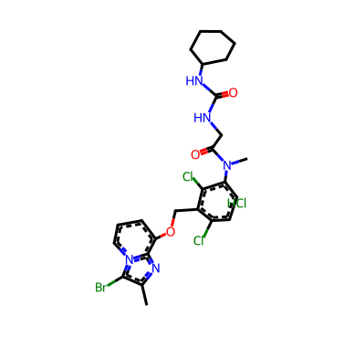 Cc1nc2c(OCc3c(Cl)ccc(N(C)C(=O)CNC(=O)NC4CCCCC4)c3Cl)cccn2c1Br.Cl